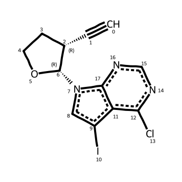 C#C[C@H]1CCO[C@H]1n1cc(I)c2c(Cl)ncnc21